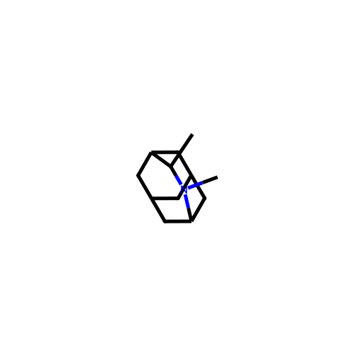 CC1C2CC3CC(C2)CC(C3)N1C